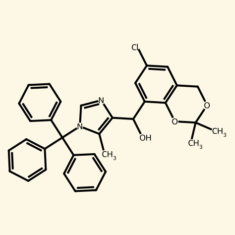 Cc1c(C(O)c2cc(Cl)cc3c2OC(C)(C)OC3)ncn1C(c1ccccc1)(c1ccccc1)c1ccccc1